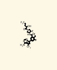 Nc1ncnn2c(-c3cc(F)c(CF)c(C(=O)N[C@@H]4CN(C(=O)C(O)CCC(F)(F)F)C[C@@H]4F)c3)cc(C(F)(F)F)c12